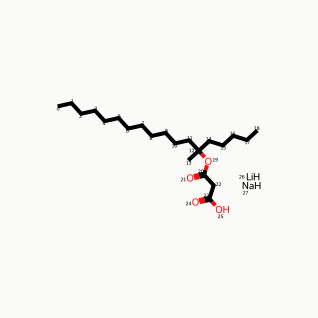 CCCCCCCCCCCCC(C)(CCCCC)OC(=O)CC(=O)O.[LiH].[NaH]